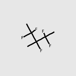 CC(F)(F)C(C)(F)C(C)(F)F